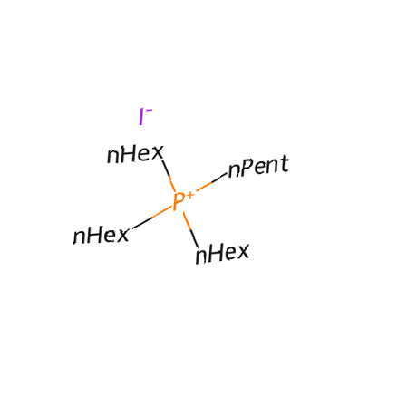 CCCCCC[P+](CCCCC)(CCCCCC)CCCCCC.[I-]